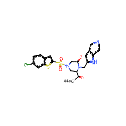 COC(=O)C1CN(S(=O)(=O)c2cc3ccc(Cl)cc3s2)CC(=O)N1Cc1cc2cnccc2[nH]1